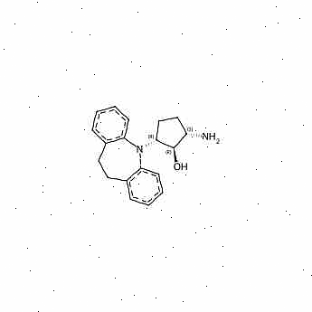 N[C@H]1CC[C@@H](N2c3ccccc3CCc3ccccc32)[C@@H]1O